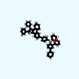 c1ccc(-c2ccc(N(c3ccccc3)c3ccc(-c4ccc5c(c4)c4ccccc4c4c(-c6ccccc6)c(-c6ccccc6)oc54)cc3)c(-c3ccccc3)c2)cc1